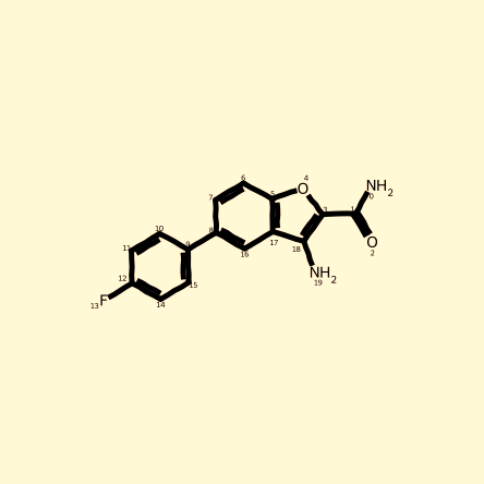 NC(=O)c1oc2ccc(-c3ccc(F)cc3)cc2c1N